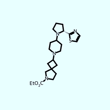 CCOC(=O)N1CCC2(CC(N3CCC(N4CCC[C@@H]4c4nccs4)CC3)C2)C1